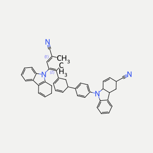 C/C(C1=CC=CC(c2ccc(N3c4ccccc4C4CC(C#N)C=CC43)cc2)C1)=C(\C=C(/C)C#N)n1c2c(c3ccccc31)C=CCC2